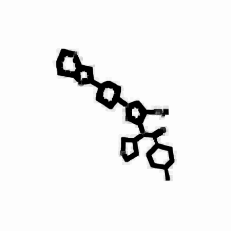 C[C@H]1CC[C@H](C(=O)N(c2nn(-c3ccc(-c4cc5ncccc5o4)cc3)cc2C(=O)O)C2CCOC2)CC1